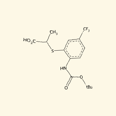 CC(Sc1cc(C(F)(F)F)ccc1NC(=O)OC(C)(C)C)C(=O)O